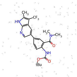 Cc1[nH]c2ncc(-c3ccc(NC(=O)OC(C)(C)C)c(C(=O)N(C)C)c3)cc2c1C(F)(F)F